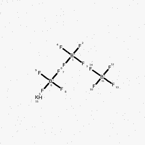 F[B-](F)(F)F.F[B-](F)(F)F.F[B-](F)(F)F.[KH]